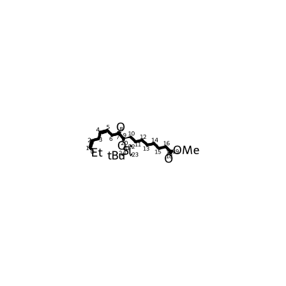 CC/C=C\C/C=C\CC(=O)[C@@H](CCCCCCCC(=O)OC)O[Si](C)(C)C(C)(C)C